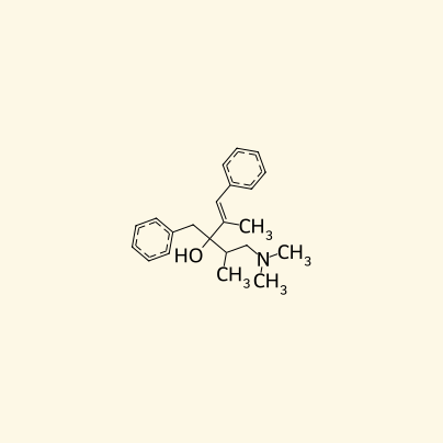 CC(=Cc1ccccc1)C(O)(Cc1ccccc1)C(C)CN(C)C